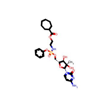 C[C@@]1(O)[C@H](O)[C@@H](COP(=O)(NCCOC(=O)C2CCCCCC2)Oc2ccccc2)O[C@H]1n1ccc(N)nc1=O